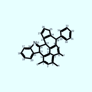 Cc1cc(C)c2c(C)cc3c4c2c1C1C(=Nc2ccccc21)C4C1=C(CC=C1)C3c1ccccc1